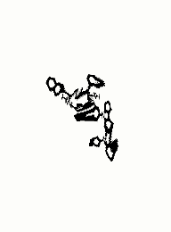 c1ccc(C2=NC(c3ccc4ccccc4c3)NC(c3cccc(-n4c5ccccc5c5cc6c7ccccc7n(-c7ccccc7)c6cc54)c3)N2)cc1